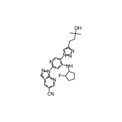 CC(C)(O)CCc1cn(-c2cnc(-n3ncc4cc(C#N)cnc43)cc2NC2CCCC2F)nn1